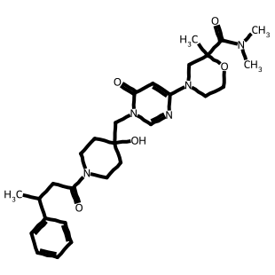 CC(CC(=O)N1CCC(O)(Cn2cnc(N3CCOC(C)(C(=O)N(C)C)C3)cc2=O)CC1)c1ccccc1